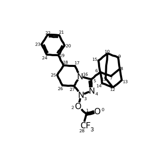 O=C(ON1N=C(C23CC4CC(CC(C4)C2)C3)N2CC(c3ccccc3)CCC12)C(F)(F)F